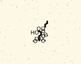 CCCCOOC(C(=O)O)C(CC(C)(OOC)OOC)OOC